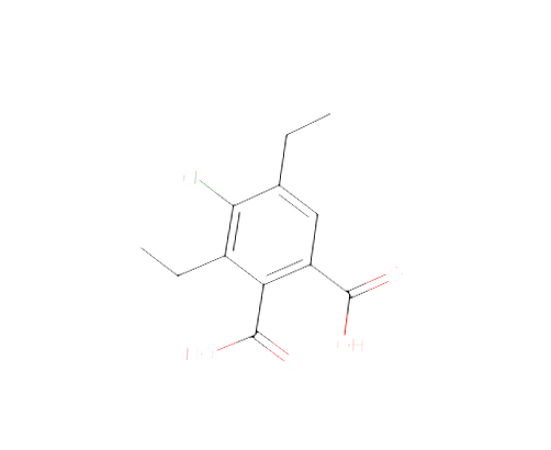 CCc1cc(C(=O)O)c(C(=O)O)c(CC)c1Cl